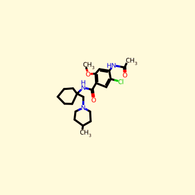 COc1cc(NC(C)=O)c(Cl)cc1C(=O)NC1(CN2CCC(C)CC2)CCCCC1